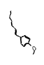 [CH2]CC=CC=Cc1ccc(OC)cc1